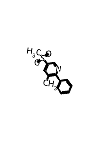 Cc1cc(S(C)(=O)=O)cnc1-c1ccccc1